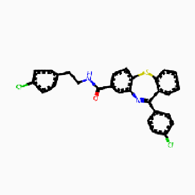 O=C(NCCc1ccc(Cl)cc1)c1ccc2c(c1)N=C(c1ccc(Cl)cc1)c1ccccc1S2